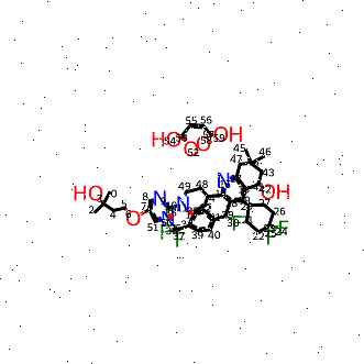 CC(C)(O)CCOc1cnc(N2CCC(c3nc4c(c(C5CCC(F)(F)CC5)c3[C@@H](F)c3ccc(C(F)(F)F)cc3)[C@@H](O)CC(C)(C)C4)CC2)nc1.O=C(O)/C=C\C(=O)O